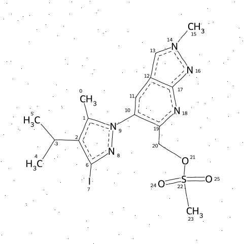 Cc1c(C(C)C)c(I)nn1-c1cc2cn(C)nc2nc1COS(C)(=O)=O